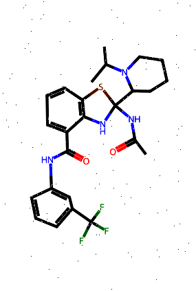 CC(=O)NC1(C2CCCCN2C(C)C)Nc2c(cccc2C(=O)Nc2[c]ccc(C(F)(F)F)c2)S1